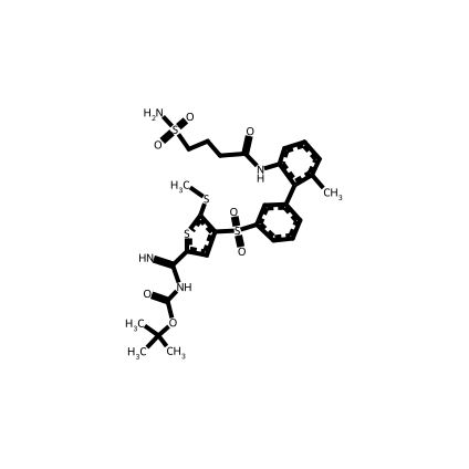 CSc1sc(C(=N)NC(=O)OC(C)(C)C)cc1S(=O)(=O)c1cccc(-c2c(C)cccc2NC(=O)CCCS(N)(=O)=O)c1